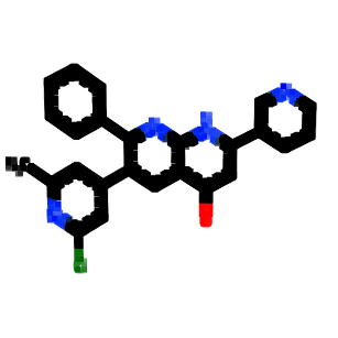 Cc1cc(-c2cc3c(=O)cc(-c4cccnc4)[nH]c3nc2-c2ccccc2)cc(Cl)n1